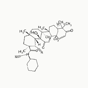 CC1(C)C(=O)C=C[C@]2(C)C3=CC(=O)[C@]4(O)[C@@H]5C(C#N)[C@@](C)(C(=O)N(C#N)C6CCCCC6)CC[C@]5(C)CC[C@@]4(C)[C@]3(C)CC[C@@H]12